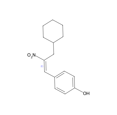 O=[N+]([O-])/C(=C/c1ccc(O)cc1)CC1CCCCC1